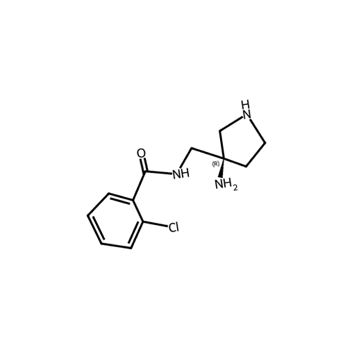 N[C@]1(CNC(=O)c2ccccc2Cl)CCNC1